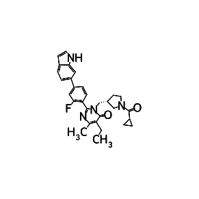 CCc1c(C)nc(-c2ccc(-c3ccc4cc[nH]c4c3)cc2F)n(C[C@@H]2CCN(C(=O)C3CC3)C2)c1=O